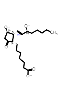 CCCCC[C@H](O)/C=C/[C@H]1[C@H](O)CC(=O)[C@H]1CCCCCCC(=O)O